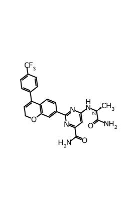 C[C@H](Nc1cc(C(N)=O)nc(-c2ccc3c(c2)OCC=C3c2ccc(C(F)(F)F)cc2)n1)C(N)=O